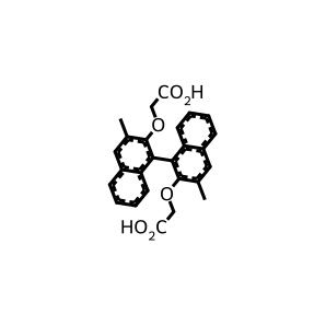 Cc1cc2ccccc2c(-c2c(OCC(=O)O)c(C)cc3ccccc23)c1OCC(=O)O